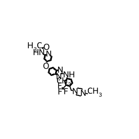 CCN1CCN(Cc2ccc(Nc3nc4cc(Oc5ccnc(NC(C)=O)c5)ccc4n3C)cc2C(F)(F)F)CC1